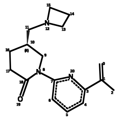 C=C(C)c1cccc(N2C[C@@H](CN3CCC3)CCC2=O)n1